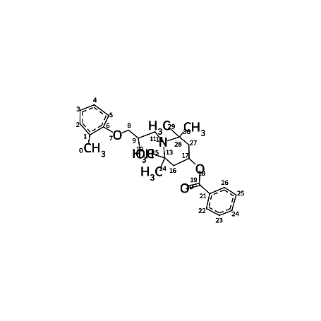 Cc1ccccc1OCC(O)CN1C(C)(C)CC(OC(=O)c2ccccc2)CC1(C)C